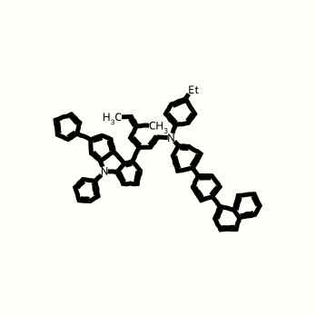 C\C=C(C)/C=C(\C=C\N(c1ccc(CC)cc1)c1ccc(-c2ccc(-c3cccc4ccccc34)cc2)cc1)c1cccc2c1c1ccc(-c3ccccc3)cc1n2-c1ccccc1